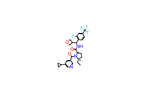 CC[C@@H]1CC[C@H](C(=O)NC(c2ccc(C(F)(F)F)cc2F)C2COC2)N1C(=O)c1cncc(C2CC2)c1